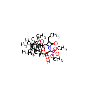 CCC1C(=O)N(C(C(=O)O)P(=O)(OC)OC)C1C(C)(O[SiH](C)C(C)(C)C(C)C)O[SiH](C)C(C)(C)C(C)C